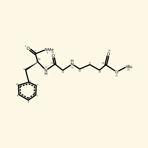 CNC(=O)[C@H](Cc1ccccc1)NC(=O)CNCCCC(=O)OC(C)(C)C